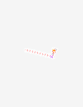 C=C(CS(=O)(=O)c1ccc(C)cc1)C(=O)c1ccc(C(=O)N(CC)CCOCCOCCOCCOCCOCCOCCOCCOCCOCCOC)cc1